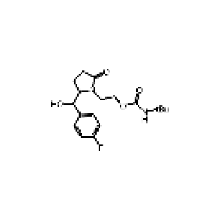 CC(C)(C)NC(=O)OCCN1C(=O)CCC1C(O)c1ccc(F)cc1